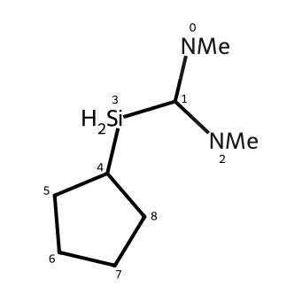 CNC(NC)[SiH2]C1CCCC1